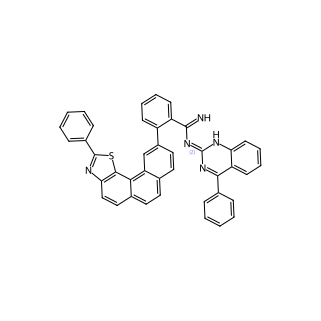 N=C(/N=c1/nc(-c2ccccc2)c2ccccc2[nH]1)c1ccccc1-c1ccc2ccc3ccc4nc(-c5ccccc5)sc4c3c2c1